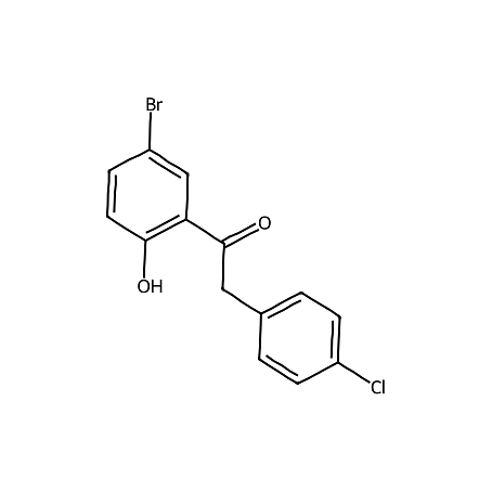 O=C(Cc1ccc(Cl)cc1)c1cc(Br)ccc1O